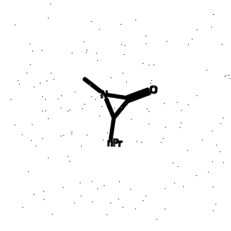 CCCC1C(=O)N1C